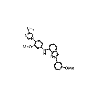 COc1cccc(-n2cc3cccc(Nc4ccc(-n5cnc(C)c5)c(OC)c4)c3n2)c1